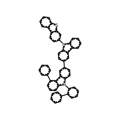 c1ccc(-c2ccccc2-n2c3ccc(-c4ccc5c(c4)c4ccccc4n5-c4ccc5c(c4)sc4ccccc45)cc3c3c(-c4ccccc4)cccc32)cc1